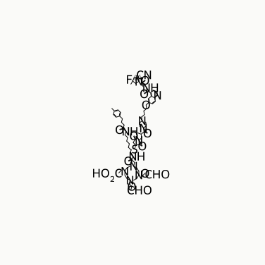 Cc1ccc(CCCC(=O)NCCCCCC(CNC(=O)CN2CCN(COC=O)CCN(COC=O)CCN(CC(=O)O)CC2)SC2CC(=O)N(CC(C)C(=O)N3CCN(CCCCOc4ccc5nccc(C(=O)NCC(=O)N6CC(C)(F)C[C@@H]6C#N)c5c4)CC3)C2=O)cc1